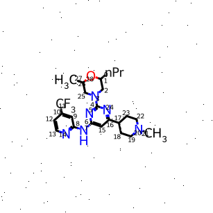 CCCC1CN(c2nc(Nc3cc(C(F)(F)F)ccn3)cc(C3CCN(C)CC3)n2)CC(C)O1